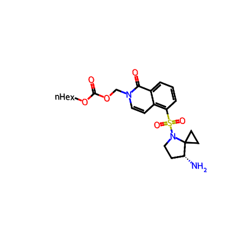 CCCCCCOC(=O)OCn1ccc2c(S(=O)(=O)N3CC[C@@H](N)C34CC4)cccc2c1=O